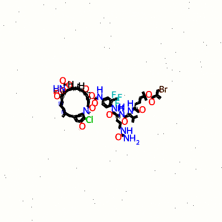 C=C(CBr)C(=O)OC(C)(C)CCC[C@@H](C=O)N[C@H](C(=O)N[C@@H](CCCNC(N)=O)C(=O)Nc1ccc(NC(=O)O[C@H]2CC(=O)N(C)c3cc(cc(OC)c3Cl)C/C(C)=C/C=C/[C@@H](OC)[C@@]3(O)C[C@H](OC(=O)N3)[C@@H](C)[C@@H]3O[C@@]23C)cc1C(F)(F)F)C(C)C